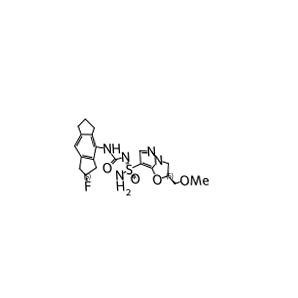 COC[C@@H]1Cn2ncc(S(N)(=O)=NC(=O)Nc3c4c(cc5c3C[C@@H](F)C5)CCC4)c2O1